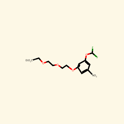 CCOC(=O)COCCOCCOc1cc(OC(F)F)cc([N+](=O)[O-])c1